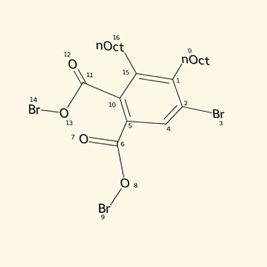 CCCCCCCCc1c(Br)cc(C(=O)OBr)c(C(=O)OBr)c1CCCCCCCC